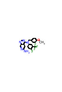 COc1ccc(CN(c2ccc(F)c(C(F)(F)F)c2)c2ncnc3cnc(N)cc23)cc1